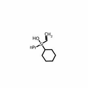 C=C[Si](O)(CCC)C1CCCCC1